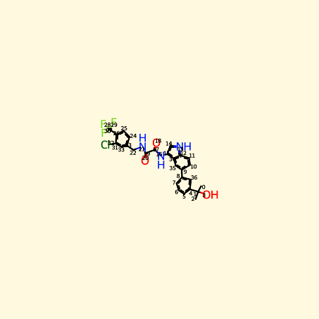 CC(C)(O)c1cccc(-c2ccc3[nH]cc(NC(=O)C(=O)NCc4ccc(C(F)(F)F)c(Cl)c4)c3c2)c1